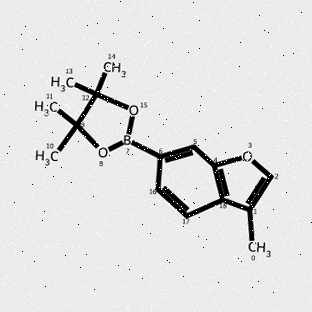 Cc1coc2cc(B3OC(C)(C)C(C)(C)O3)ccc12